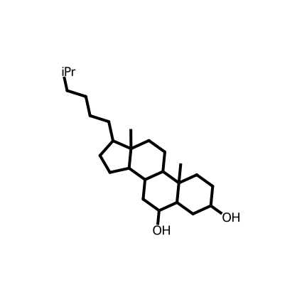 CC(C)CCCCC1CCC2C3CC(O)C4CC(O)CCC4(C)C3CCC12C